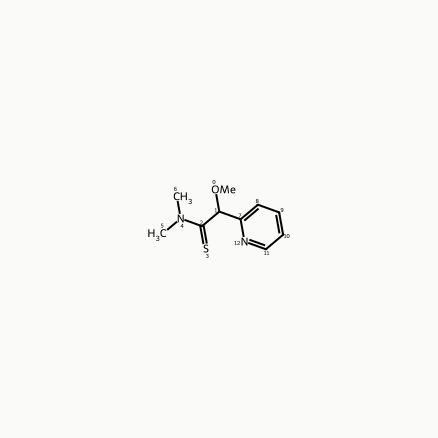 COC(C(=S)N(C)C)c1ccccn1